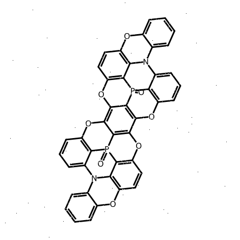 O=P12c3c4cccc3N3c5ccccc5Oc5ccc(c1c53)Oc1c3c5c(c(c12)O4)Oc1ccc2c4c1P5(=O)c1c(cccc1N4c1ccccc1O2)O3